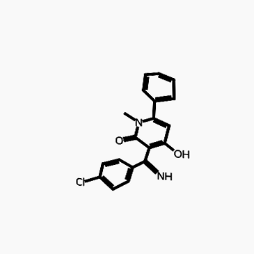 Cn1c(-c2ccccc2)cc(O)c(C(=N)c2ccc(Cl)cc2)c1=O